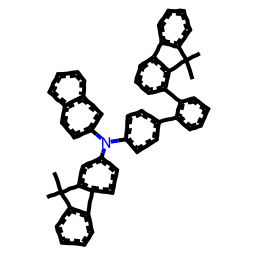 CC1(C)c2ccccc2-c2ccc(N(c3ccc(-c4ccccc4-c4cccc5c4C(C)(C)c4ccccc4-5)cc3)c3ccc4ccccc4c3)cc21